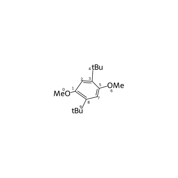 COc1cc(C(C)(C)C)c(OC)cc1C(C)(C)C